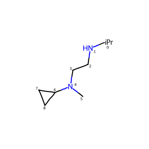 CC(C)NCCN(C)C1CC1